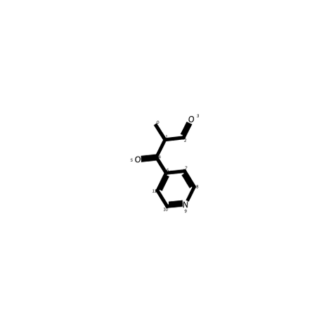 CC(C=O)C(=O)c1ccncc1